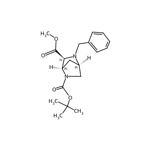 COC(=O)[C@@H]1[C@H]2C[C@H](CN2C(=O)OC(C)(C)C)N1Cc1ccccc1